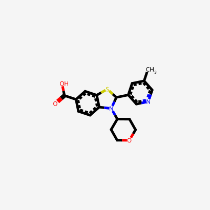 Cc1cncc(C2Sc3cc(C(=O)O)ccc3N2C2CCOCC2)c1